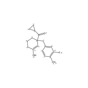 Cc1ccc(CC2(C(=O)C3CC3)C=C(O)CCC2)cc1F